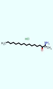 CCCCCCCCCCCCCCC(=O)[C@H](C)N.Cl